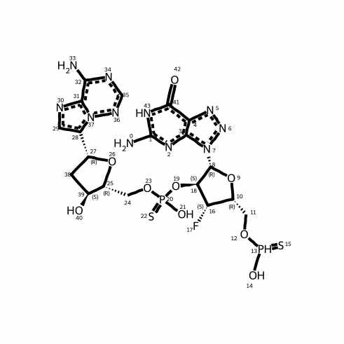 Nc1nc2c(nnn2[C@@H]2O[C@H](CO[PH](O)=S)[C@H](F)[C@H]2OP(O)(=S)OC[C@H]2O[C@@H](c3cnc4c(N)ncnn34)C[C@@H]2O)c(=O)[nH]1